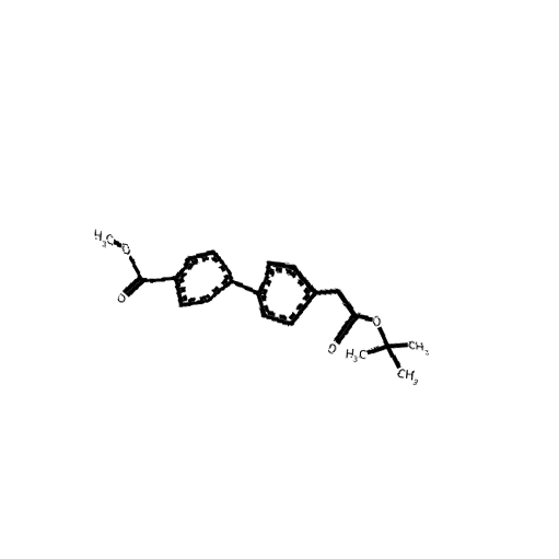 COC(=O)c1ccc(-c2ccc(CC(=O)OC(C)(C)C)cc2)cc1